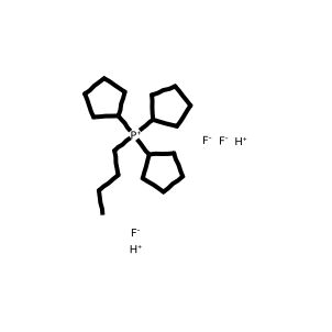 CCCC[P+](C1CCCC1)(C1CCCC1)C1CCCC1.[F-].[F-].[F-].[H+].[H+]